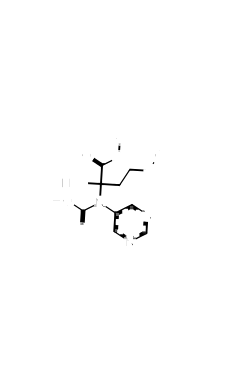 COC(=O)C(C)(CCSC)N(C(=O)O)c1cncnc1